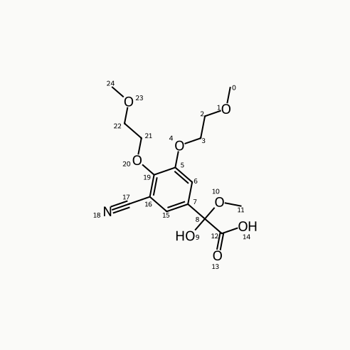 COCCOc1cc(C(O)(OC)C(=O)O)cc(C#N)c1OCCOC